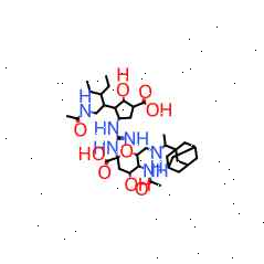 CCC(CC)C(CNC(C)=O)C1C(NC(=N)NC2(C(=O)O)CC(O)C(NC(C)=O)C(CNC(C)C34CC5CC(CC(C5)C3)C4)O2)CC(C(=O)O)C1O